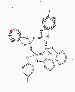 Cc1ccc(OP2(Oc3ccccc3)=NP(Cl)(Oc3ccccc3)=NP(Oc3ccccc3)(Oc3ccc(C)cc3)=NP(Oc3ccccc3)(Oc3ccccc3)=N2)cc1